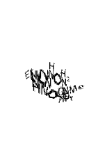 CCCC(c1ccc(Nc2nc(NC3CCC(N)CC3)nc3c2ncn3CC)cc1)S(=O)(=O)NC